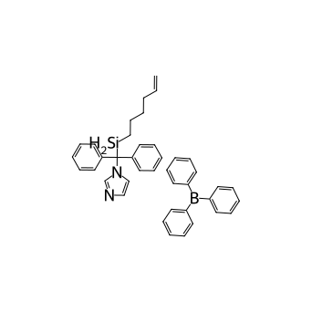 C=CCCCC[SiH2]C(c1ccccc1)(c1ccccc1)n1ccnc1.c1ccc(B(c2ccccc2)c2ccccc2)cc1